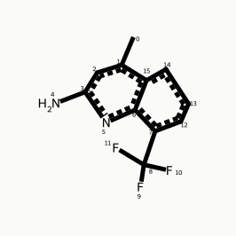 Cc1cc(N)nc2c(C(F)(F)F)cccc12